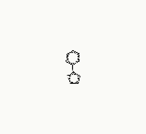 [c]1ccc(-c2ccccn2)s1